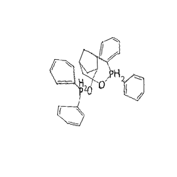 c1ccc([PH2](OC2(O[PH2](c3ccccc3)c3ccccc3)CC3CCC2C3)c2ccccc2)cc1